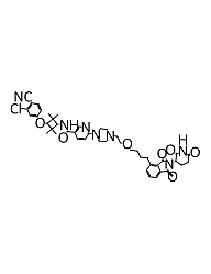 CC1(C)[C@H](NC(=O)c2ccc(N3CCN(CCOCCCCc4cccc5c4C(=O)N([C@H]4CCC(=O)NC4=O)C5=O)CC3)nc2)C(C)(C)[C@H]1Oc1ccc(C#N)c(Cl)c1